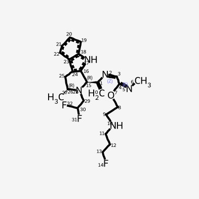 C=C(/N=C\C(=N/C)OCCNCCCF)[C@@H]1c2[nH]c3ccccc3c2C[C@@H](C)N1CC(F)F